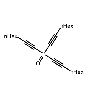 CCCCCCC#CP(=O)(C#CCCCCCC)C#CCCCCCC